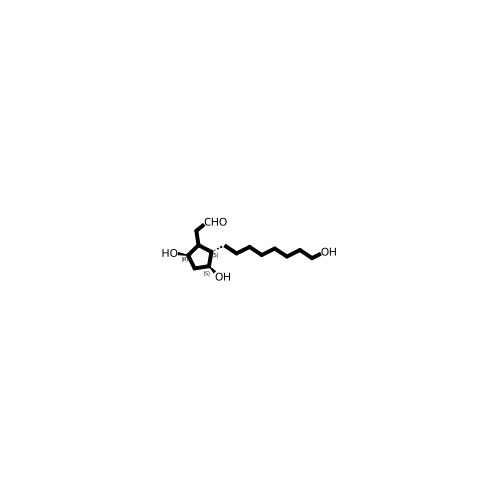 O=CCC1[C@H](O)C[C@H](O)[C@H]1CCCCCCCCO